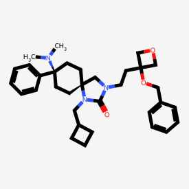 CN(C)[C@]1(c2ccccc2)CC[C@@]2(CC1)CN(CCC1(OCc3ccccc3)COC1)C(=O)N2CC1CCC1